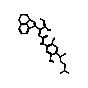 C=C(/N=C(\C(O)=C/C)c1cn2c3c(cccc13)CCC2)Nc1cc(N)c(N(C)CCN(C)C)cc1Cl